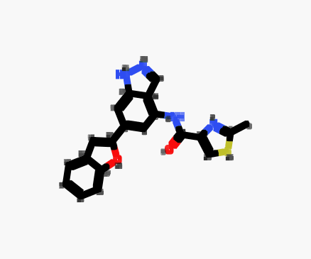 Cc1nc(C(=O)Nc2cc(-c3cc4ccccc4o3)cc3[nH]ncc23)cs1